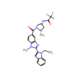 CCn1c(-c2nc3cc(C(=O)N4C[C@H](NC(=O)C(F)(F)F)C[C@@H]4C)ccc3n2C)cc2ccccc21